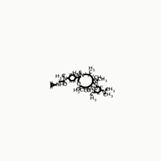 CO[C@]1(C)C[C@@H](C)CN(C)[C@@](N)(C2CCC(N(C)C(=O)CNC3CC3)CC2)COC(=O)C(C)(C)C(=O)[C@H](C)[C@H]1O[C@H]1C[C@@H](N(C)C)C[C@@H](C)O1